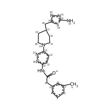 Cc1cccc(CC(=O)Nc2ccc(N3CCC(Cc4nnc(N)s4)CC3)nn2)c1